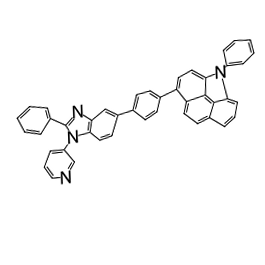 c1ccc(-c2nc3cc(-c4ccc(-c5ccc6c7c5ccc5cccc(c57)n6-c5ccccc5)cc4)ccc3n2-c2cccnc2)cc1